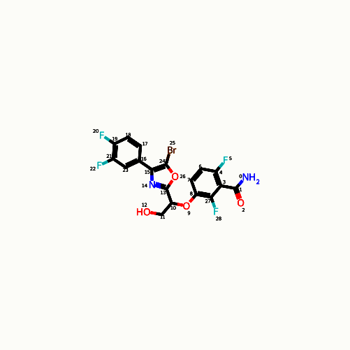 NC(=O)c1c(F)ccc(OC(CO)c2nc(-c3ccc(F)c(F)c3)c(Br)o2)c1F